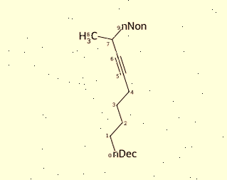 [CH2]CCCCCCCCCCCCCC#CC(C)CCCCCCCC[CH2]